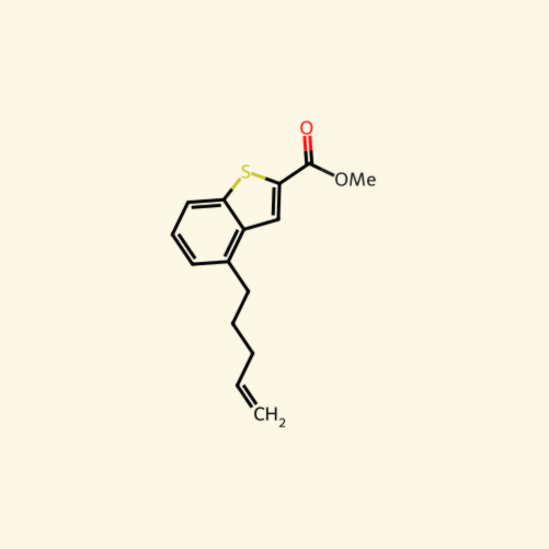 C=CCCCc1cccc2sc(C(=O)OC)cc12